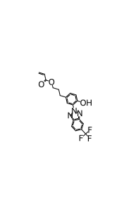 C=CC(=O)OCCCc1ccc(O)c(-n2nc3ccc(C(F)(F)F)cc3n2)c1